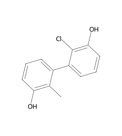 Cc1c(O)cccc1-c1cccc(O)c1Cl